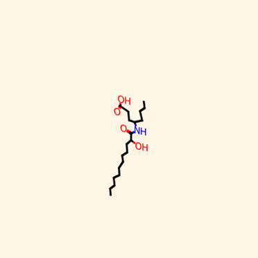 CCCCCCCCCCC(O)C(=O)NC(CCCC)CCC(=O)O